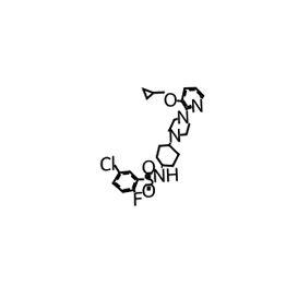 O=S(=O)(N[C@H]1CC[C@H](N2CCN(c3ncccc3OCC3CC3)CC2)CC1)c1cc(Cl)ccc1F